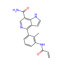 C=CC(=O)Nc1cccc(-c2ncc(C(N)=O)c3[nH]ccc23)c1C